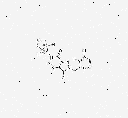 O=c1c2nn(Cc3cccc(Cl)c3F)c(Cl)c2nnn1C1[C@H]2COC[C@@H]12